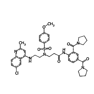 COc1ccc(S(=O)(=O)N(CCNc2cc(C)nc3ccc(Cl)cc23)CCC(=O)Nc2ccc(C(=O)N3CCCC3)cc2C(=O)N2CCCC2)cc1